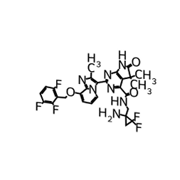 Cc1nc2c(OCc3c(F)ccc(F)c3F)cccn2c1-c1nc2c(c(C(=O)NCC3(N)CC3(F)F)n1)C(C)(C)C(=O)N2